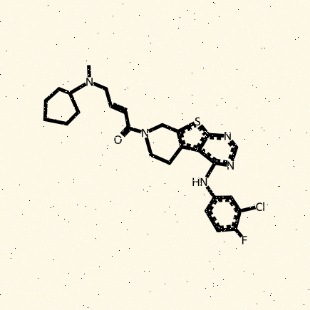 CN(C/C=C/C(=O)N1CCc2c(sc3ncnc(Nc4ccc(F)c(Cl)c4)c23)C1)C1CCCCC1